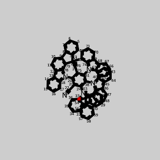 CC1(C)c2ccccc2-c2ccc3c4ccccc4n(-c4c(C#N)c(-n5c6ccccc6c6ccccc65)c(-n5c6ccccc6c6ccc7c(c65)C(C)(C)c5ccccc5-7)c(-n5c6ccccc6c6ccccc65)c4C#N)c3c21